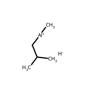 [CH3][Al+][CH2]C(C)C.[H-]